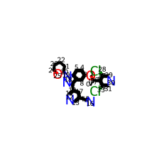 C[C@@H](Oc1ccc2c(c1)c(-c1cncc(C#N)c1)nn2C1CCCCO1)c1c(Cl)cncc1Cl